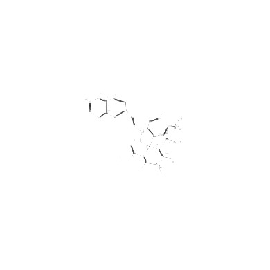 CC1=C(C(=O)O)C(CCC=Cc2ccc3ccccc3c2)(c2cccc([N+](=O)[O-])c2)C(C(=O)O)=C(C)N1C